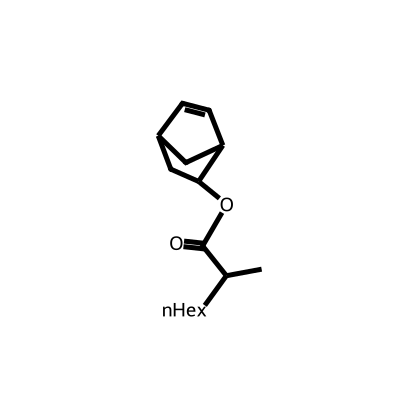 CCCCCCC(C)C(=O)OC1CC2C=CC1C2